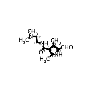 Cc1[nH]c(C=O)c(C)c1C(=O)NCCN(C)C